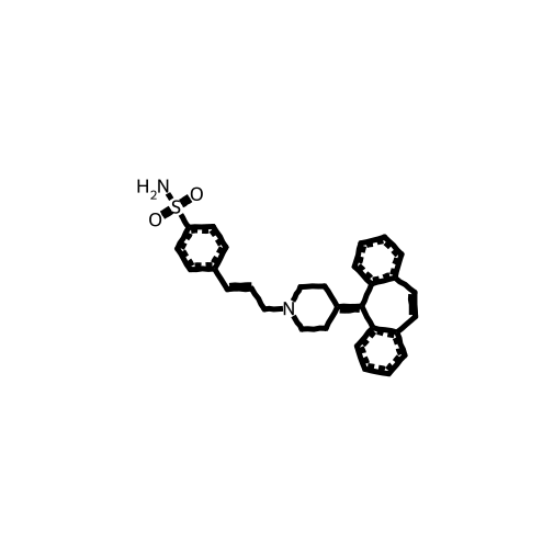 NS(=O)(=O)c1ccc(/C=C/CN2CCC(=C3c4ccccc4C=Cc4ccccc43)CC2)cc1